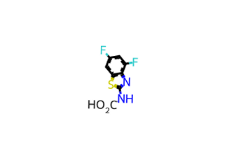 O=C(O)Nc1nc2c(F)cc(F)cc2s1